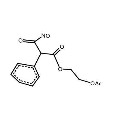 CC(=O)OCCOC(=O)C(C(=O)N=O)c1ccccc1